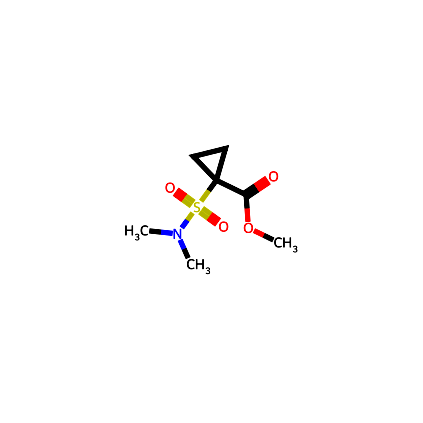 COC(=O)C1(S(=O)(=O)N(C)C)CC1